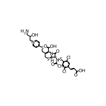 CC(=O)N(Sc1cc(Cl)c(C=CC(=O)O)cc1Cl)[C@H]1C(=O)N2C(C(=O)O)=C(CSc3cc[n+](CC(O)CN)cc3)CS[C@H]12